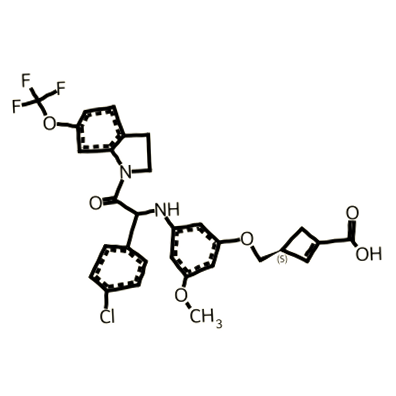 COc1cc(NC(C(=O)N2CCc3ccc(OC(F)(F)F)cc32)c2ccc(Cl)cc2)cc(OC[C@@H]2C=C(C(=O)O)C2)c1